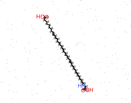 O=C(O)CCCCCCCCCCCCCCCCCCCCCCCCCCCCCCCCCCCCCCNCC(=O)O